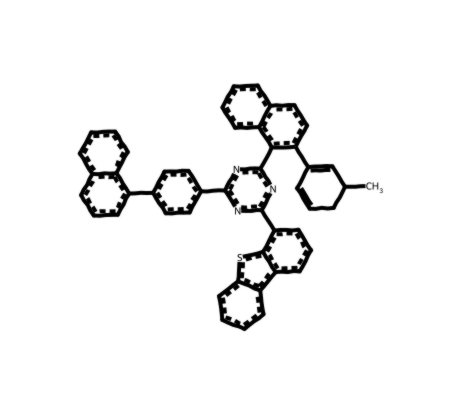 CC1C=C(c2ccc3ccccc3c2-c2nc(-c3ccc(-c4cccc5ccccc45)cc3)nc(-c3cccc4c3sc3ccccc34)n2)C=CC1